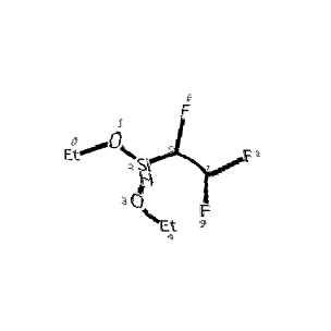 CCO[SiH](OCC)C(F)C(F)F